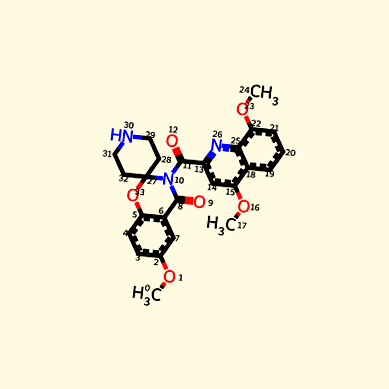 COc1ccc2c(c1)C(=O)N(C(=O)c1cc(OC)c3cccc(OC)c3n1)C1(CCNCC1)O2